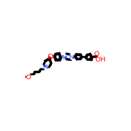 COCCCCCCN1CCC(Oc2ccc(N3CCN(c4ccc(-c5ccc(C(=O)O)cc5)cc4)CC3)cc2)CC1